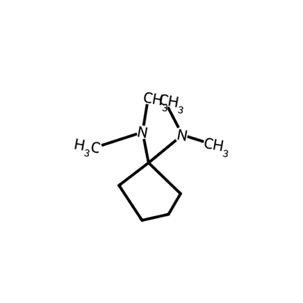 CN(C)C1(N(C)C)CCCC1